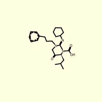 CC(C)C[C@H]1C(=O)CN(CCCc2ccccc2)C(=NC2CCCCC2)N1C(=O)O